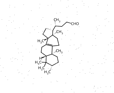 C[C@H](CCC=O)[C@H]1CC[C@@]2(C)C3=C(CC[C@]12C)[C@@]1(C)CC[C@H](C)C(C)(C)[C@@H]1CC3